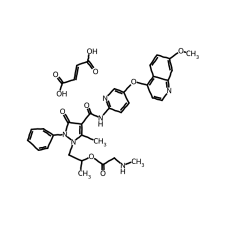 CNCC(=O)OC(C)Cn1c(C)c(C(=O)Nc2ccc(Oc3ccnc4cc(OC)ccc34)cn2)c(=O)n1-c1ccccc1.O=C(O)C=CC(=O)O